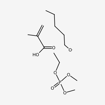 C=C(C)C(=O)O.CCCCC[O].CCOP(=O)(OC)OC